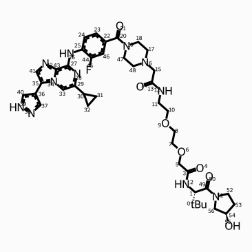 CC(C)(C)[C@H](NC(=O)COCCOCCNC(=O)CN1CCN(C(=O)c2ccc(Nc3nc(C4CC4)cn4c(-c5cn[nH]c5)cnc34)c(F)c2)CC1)C(=O)N1CC[C@@H](O)C1